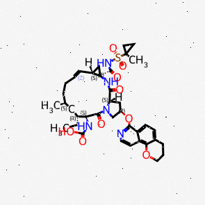 CC[C@@H]1C[C@@H](C)CC/C=C\[C@@H]2C[C@@]2(C(=O)NS(=O)(=O)C2(C)CC2)NC(=O)[C@@H]2C[C@@H](Oc3nccc4c5c(ccc34)CCCO5)CN2C(=O)[C@H]1NC(=O)O